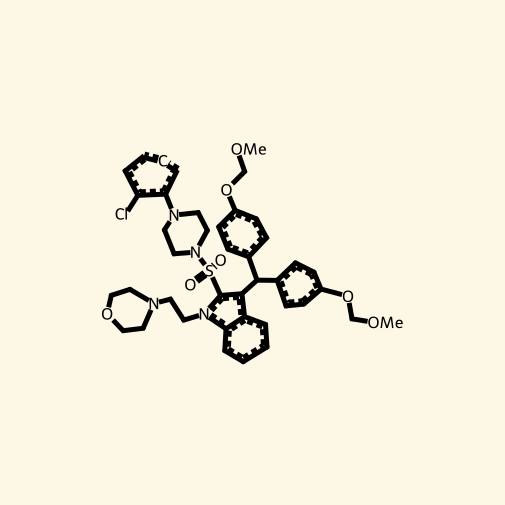 COCOc1ccc(C(c2ccc(OCOC)cc2)c2c(S(=O)(=O)N3CCN(c4ccccc4Cl)CC3)n(CCN3CCOCC3)c3ccccc23)cc1